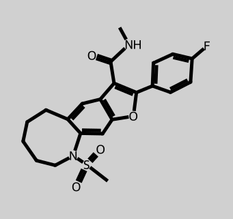 CNC(=O)c1c(-c2ccc(F)cc2)oc2cc3c(cc12)CCCCCN3S(C)(=O)=O